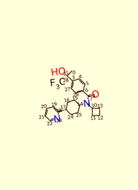 C[C@](O)(c1ccc(C(=O)N(C2CCC2)[C@H]2CC[C@H](c3ccccn3)CC2)cc1)C(F)(F)F